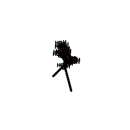 CCCCCCCCCCCCC/C=C/[C@@H](O)[C@H](CO[C@@H]1OC(CO)[C@@H](O[C@@H]2OC(CO)[C@H](O[C@@H]3OC(CO)[C@H](O)[C@H](O)C3NC(C)=O)[C@H](O[C@H]3OC(CO)[C@H](O)[C@H](O[C@@H]4OC(CO)[C@@H](O[C@@H]5OC(CO)[C@H](O)[C@H](O[C@]6(C(=O)O)CC(O)[C@@H](NC(C)=O)C([C@H](O)[C@H](O)CO)O6)C5O)[C@H](O[C@H]5OC(C)[C@@H](O)C(O)[C@@H]5O)C4NC(C)=O)C3O)C2O)[C@H](O)C1O)NC(=O)CCCCCCCCCCCCCCCCCCCCCCCCC